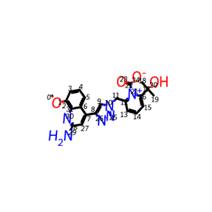 COc1cccc2c(-c3cn(Cc4cccc(C(C)(C)O)[n+]4C(=O)[O-])nn3)cc(N)nc12